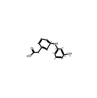 O=C(O)Cc1cccc(Nc2cccc(O)c2)c1